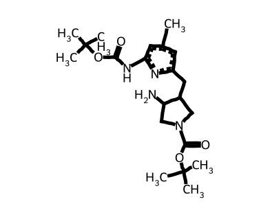 Cc1cc(CC2CN(C(=O)OC(C)(C)C)CC2N)nc(NC(=O)OC(C)(C)C)c1